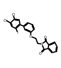 O=C1c2ccccc2C(=O)N1CCOc1cccc(-c2cc(Cl)c(Cl)cc2I)c1